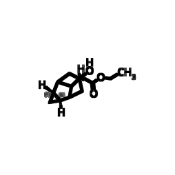 CCOC(=O)NC1C2CC(O)CC1[C@@H]1C[C@H]21